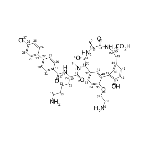 C[C@@H]1NC(=O)[C@@H](N(C)C(=O)[C@H](CCCCN)NC(=O)c2ccc(-c3ccc(Cl)cc3)cc2)c2ccc(OCCN)c(c2)-c2cc(ccc2O)C[C@@H](C(=O)O)NC1=O